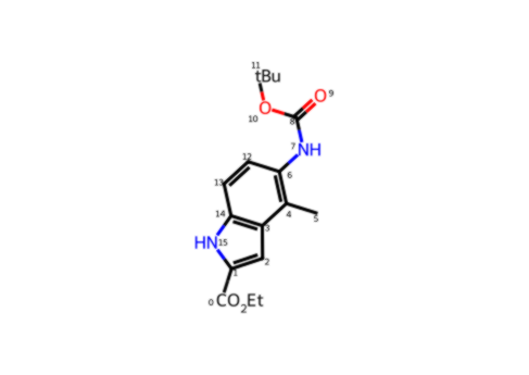 CCOC(=O)c1cc2c(C)c(NC(=O)OC(C)(C)C)ccc2[nH]1